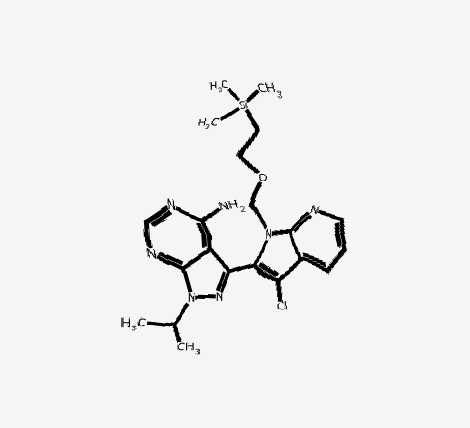 CC(C)n1nc(-c2c(Cl)c3cccnc3n2COCC[Si](C)(C)C)c2c(N)ncnc21